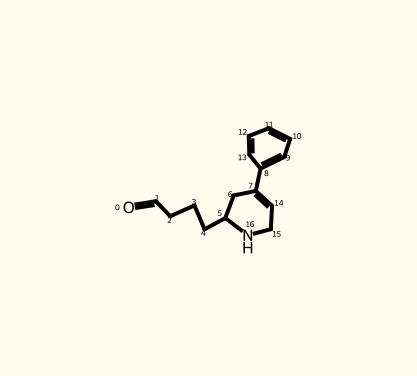 O=CCCCC1CC(c2ccccc2)=CCN1